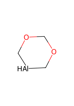 C1O[CH2][AlH][CH2]O1